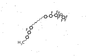 CCCc1ccc(-c2ccc(-c3ccc(CC/C=C/CCCCCc4ccc(-c5ccc(-c6cc(F)c(C(F)(F)Oc7cc(F)c(F)c(F)c7)c(F)c6)c(F)c5)cc4)cc3)c(F)c2)cc1